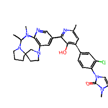 Cc1cc(-c2ccc(-n3ccn(C)c3=O)c(Cl)c2)c(O)c(-c2cnc3c(c2)N2CCC4(CCCN4C(C)N3C)C2)n1